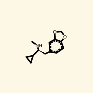 CN[C@@H](Cc1ccc2c(c1)OCO2)C1CC1